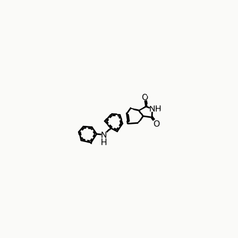 O=C1NC(=O)C2CC=CCC12.c1ccc(Nc2ccccc2)cc1